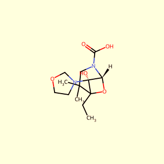 CCC12O[C@@H](N(C(=O)O)CC1(C)C)[C@]2(O)N1CCOC1